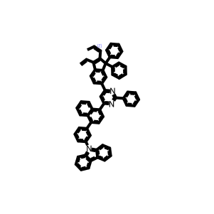 C=CC1=C(/C=C\C)C(c2ccccc2)(c2ccccc2)c2cc(-c3cc(-c4ccc(-c5cccc(-n6c7ccccc7c7ccccc76)c5)c5ccccc45)nc(-c4ccccc4)n3)ccc21